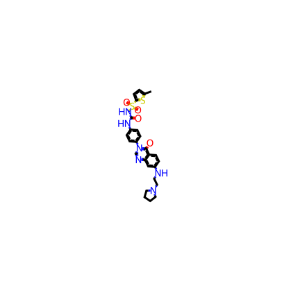 Cc1ccc(S(=O)(=O)NC(=O)Nc2ccc(-n3cnc4cc(NCCN5CCCC5)ccc4c3=O)cc2)s1